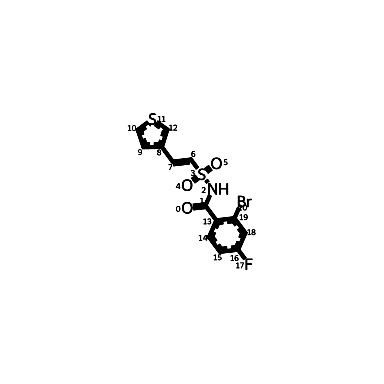 O=C(NS(=O)(=O)/C=C/c1ccsc1)c1ccc(F)cc1Br